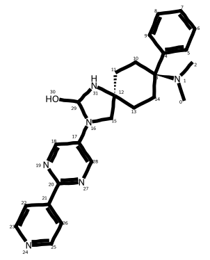 CN(C)[C@]1(c2ccccc2)CC[C@]2(CC1)CN(c1cnc(-c3ccncc3)nc1)C(O)N2